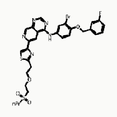 CCCS(=O)(=O)CCOCCc1nc(-c2cc3c(Nc4ccc(OCc5cccc(F)c5)c(Br)c4)ncnc3cn2)cs1